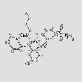 CCCCC(=O)c1c(-c2ccccc2)c2cc(Cl)ccc2c(=O)n1Cc1ccc(S(N)(=O)=O)cc1